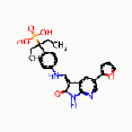 CCC(CC)(c1ccc(NC=C2C(=O)Nc3ncc(-c4ccco4)cc32)cc1)P(=O)(O)O